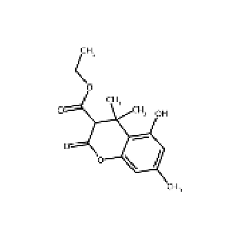 CCOC(=O)C1C(=O)Oc2cc(C)cc(O)c2C1(C)C